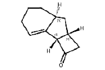 O=C1C[C@H]2C[C@@H]3CCCC=C3[C@@H]12